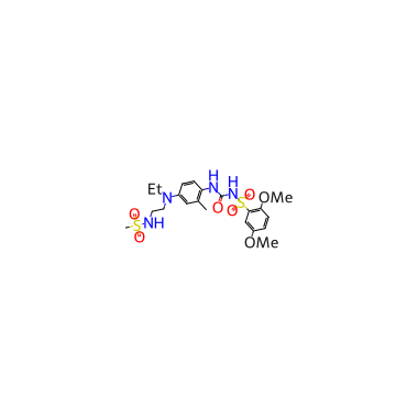 CCN(CCNS(C)(=O)=O)c1ccc(NC(=O)NS(=O)(=O)c2cc(OC)ccc2OC)c(C)c1